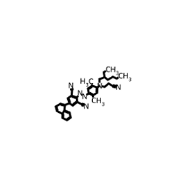 CCCCC(CC)CN(CCC#N)c1cc(C)c(N=Nc2c(C#N)cc(-c3cccc4ccccc34)cc2C#N)cc1C